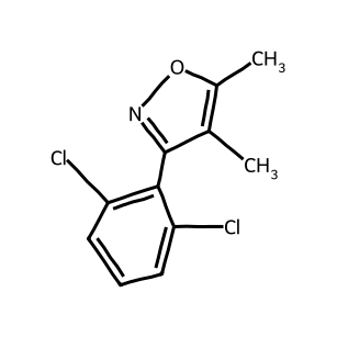 Cc1onc(-c2c(Cl)cccc2Cl)c1C